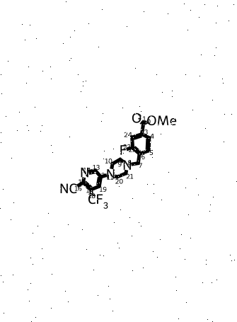 COC(=O)c1ccc(CN2CCN(c3cnc(C#N)c(C(F)(F)F)c3)CC2)c(F)c1